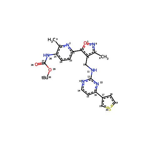 Cc1nc(-c2onc(C)c2CNc2nccc(-c3ccsc3)n2)ccc1NC(=O)OC(C)(C)C